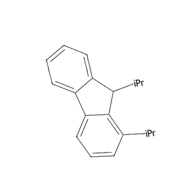 CC(C)c1cccc2c1C(C(C)C)c1ccccc1-2